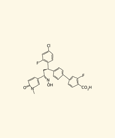 Cn1cc(C(C[C@H](c2ccc(-c3ccc(C(=O)O)c(F)c3)cc2)c2ccc(Cl)cc2F)=NO)ccc1=O